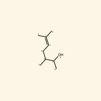 CC(C)=CCC(C)C(C)O